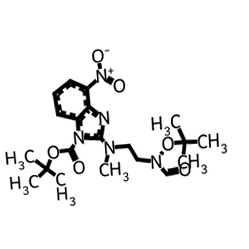 CN(CCN(C=O)OC(C)(C)C)c1nc2c([N+](=O)[O-])cccc2n1C(=O)OC(C)(C)C